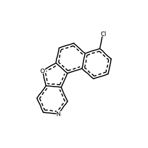 Clc1cccc2c1ccc1oc3ccncc3c12